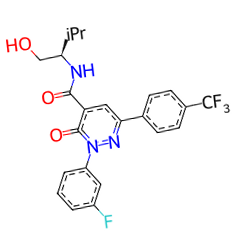 CC(C)[C@H](CO)NC(=O)c1cc(-c2ccc(C(F)(F)F)cc2)nn(-c2cccc(F)c2)c1=O